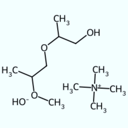 COC(C)COC(C)CO.C[N+](C)(C)C.[OH-]